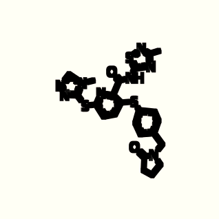 Cc1nsc(NC(=O)c2nc(Sc3nncn3C)ccc2Sc2ccc(CN3CCCC3=O)cc2)n1